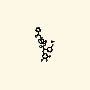 O=C(C[N+]12CCC(CC1)[C@@H](OC(=O)N(Cc1cc(F)c(F)c(F)c1)c1cccc(F)c1)C2)c1cccs1.[Br-]